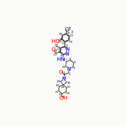 O=C(CN1CCC[C@@H](Nc2nnc(-c3ccc(C(F)(F)F)cc3O)c3c2COC3)C1)N1CC2(CCC(O)CC2)C1